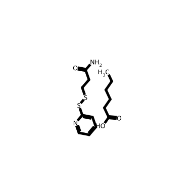 CCCCCC(=O)O.NC(=O)CCSSc1ccccn1